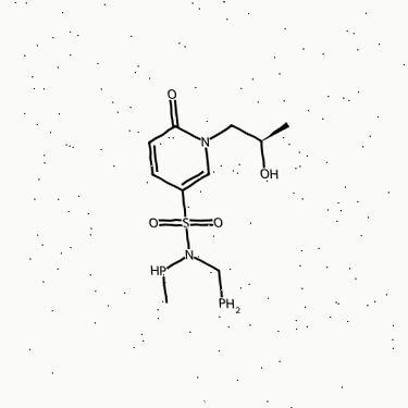 CPN(CP)S(=O)(=O)c1ccc(=O)n(C[C@@H](C)O)c1